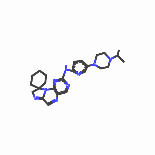 CC(C)N1CCN(c2ccc(Nc3ncc4c(n3)N3C(=NCC35CCCCC5)C=N4)nc2)CC1